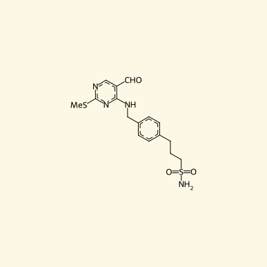 CSc1ncc(C=O)c(NCc2ccc(CCCS(N)(=O)=O)cc2)n1